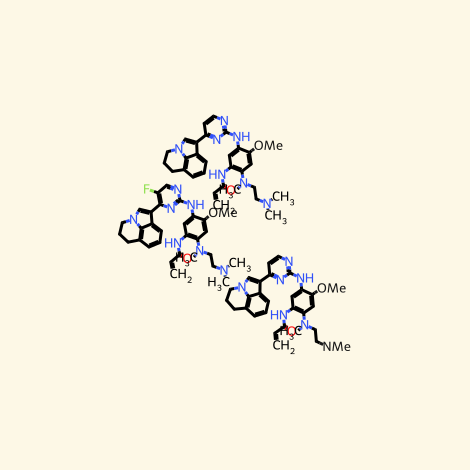 C=CC(=O)Nc1cc(Nc2ncc(F)c(-c3cn4c5c(cccc35)CCC4)n2)c(OC)cc1N(C)CCN(C)C.C=CC(=O)Nc1cc(Nc2nccc(-c3cn4c5c(cccc35)CCC4)n2)c(OC)cc1N(C)CCN(C)C.C=CC(=O)Nc1cc(Nc2nccc(-c3cn4c5c(cccc35)CCC4)n2)c(OC)cc1N(C)CCNC